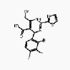 O=C(O)C1=C(CBr)NC(c2nccs2)=NC1c1ccc(F)c(F)c1Br